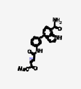 COC(=O)/C=C/C(=O)Nc1cccc(-c2ccc(C(N)=O)c3[nH]ccc23)c1